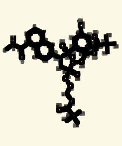 CNC(=O)c1cccc2cc(N(CP(=O)(OOCOC(=O)C(C)(C)C)OOCOC(=O)C(C)(C)C)S(=O)(=O)c3cc(Cl)cc(Cl)c3)ccc12